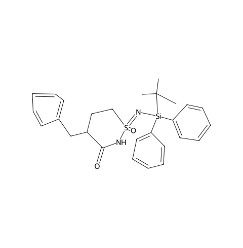 CC(C)(C)[Si](N=S1(=O)CCC(Cc2ccccc2)C(=O)N1)(c1ccccc1)c1ccccc1